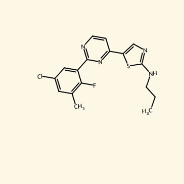 CCCNc1ncc(-c2ccnc(-c3cc(Cl)cc(C)c3F)n2)s1